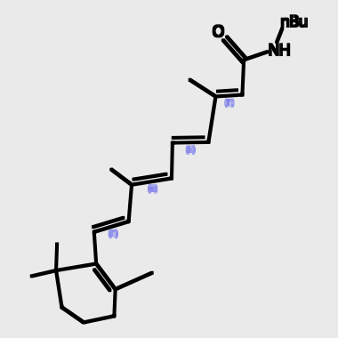 CCCCNC(=O)/C=C(C)/C=C/C=C(C)/C=C/C1=C(C)CCCC1(C)C